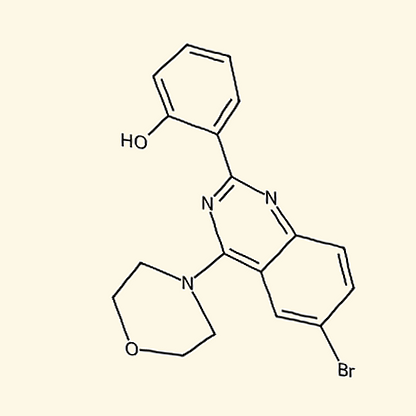 Oc1ccccc1-c1nc(N2CCOCC2)c2cc(Br)ccc2n1